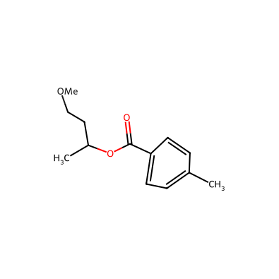 COCCC(C)OC(=O)c1ccc(C)cc1